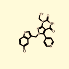 CC(C)Cn1c(=O)[nH]c(=O)c2c(-c3ccncc3)n(Cc3csc4ccc(Cl)cc34)nc21